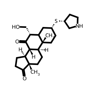 C[C@]12CC[C@@H](S[C@@H]3CCNC3)CC1[C@@H](CO)C(=O)[C@@H]1[C@@H]2CC[C@]2(C)C(=O)CC[C@@H]12